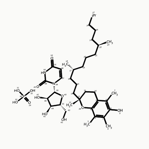 Cc1c(C)c2c(c(C)c1O)CC[C@@](C)(CCC[C@H](C)CCC[C@H](C)CCCC(C)C)O2.O=P(O)(O)O.O=c1ccn([C@@H]2O[C@H](CO)[C@@H](O)[C@H]2O)c(=O)[nH]1